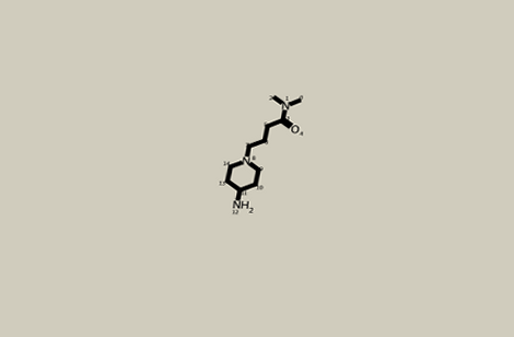 CN(C)C(=O)CCCN1CCC(N)CC1